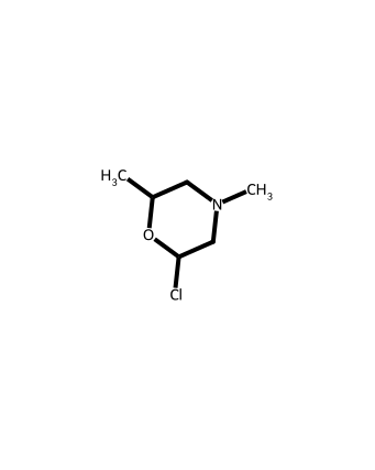 CC1CN(C)CC(Cl)O1